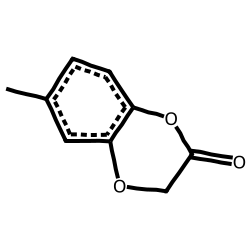 Cc1ccc2c(c1)OCC(=O)O2